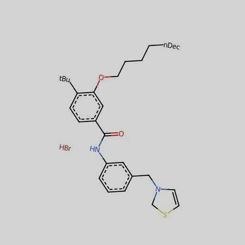 Br.CCCCCCCCCCCCCCOc1cc(C(=O)Nc2cccc(CN3C=CSC3)c2)ccc1C(C)(C)C